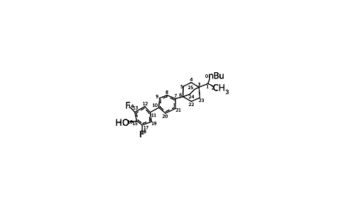 CCCCC(C)C12CCC(c3ccc(-c4cc(F)c(O)c(F)c4)cc3)(CC1)CC2